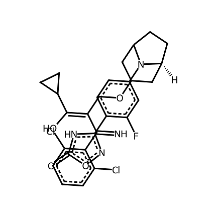 N=C(/C(COC1CC2CC[C@@H](C1)N2c1ccc(-c2noc(=O)[nH]2)c(F)c1)=C(\O)C1CC1)c1c(Cl)cccc1Cl